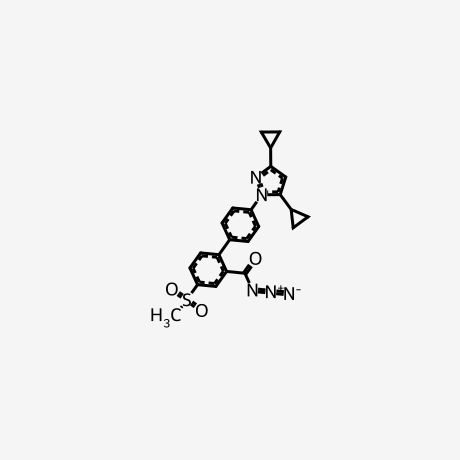 CS(=O)(=O)c1ccc(-c2ccc(-n3nc(C4CC4)cc3C3CC3)cc2)c(C(=O)N=[N+]=[N-])c1